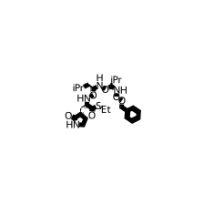 CCSC(=O)[C@H](C[C@@H]1CCNC1=O)NO[C@@H](CC(C)C)NO[C@H](NOOCc1ccccc1)C(C)C